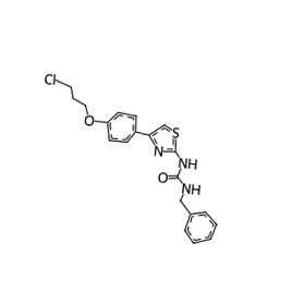 O=C(NCc1ccccc1)Nc1nc(-c2ccc(OCCCCl)cc2)cs1